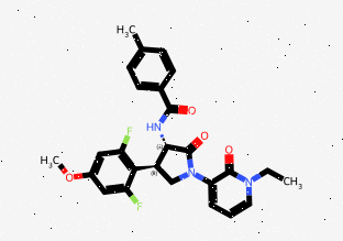 CCn1cccc(N2C[C@@H](c3c(F)cc(OC)cc3F)[C@H](NC(=O)c3ccc(C)cc3)C2=O)c1=O